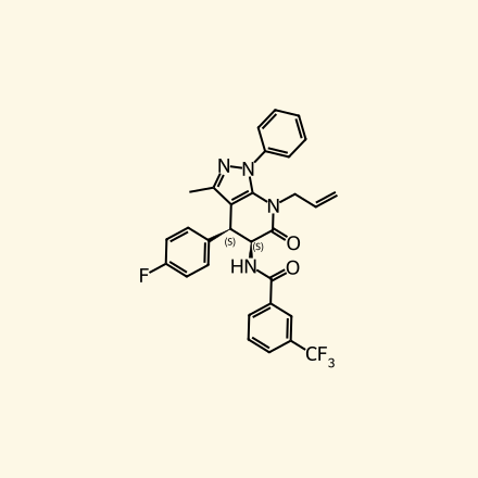 C=CCN1C(=O)[C@@H](NC(=O)c2cccc(C(F)(F)F)c2)[C@@H](c2ccc(F)cc2)c2c(C)nn(-c3ccccc3)c21